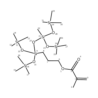 C=C(C)C(=O)OCCC[Si](O[Si](C)(C)C)(O[Si](C)(C)C)O[Si](C)(O[Si](C)(C)C)O[Si](C)(C)C